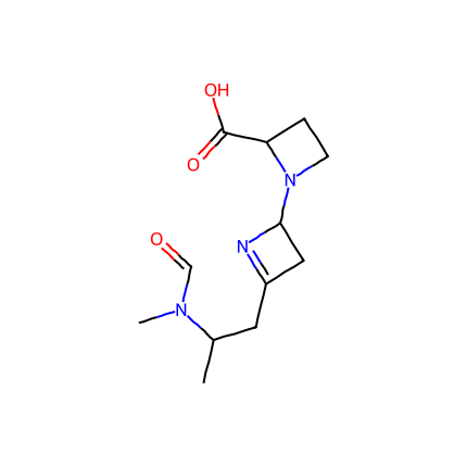 CC(CC1=NC(N2CCC2C(=O)O)C1)N(C)C=O